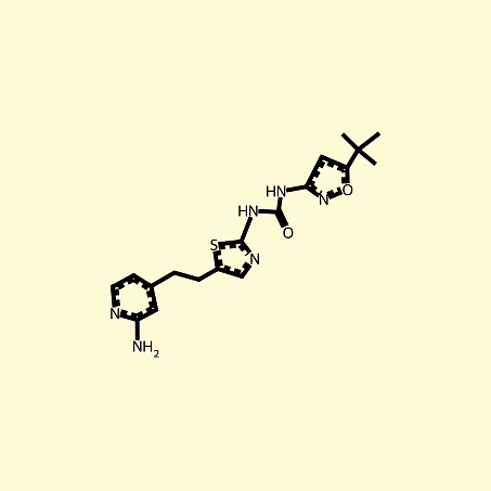 CC(C)(C)c1cc(NC(=O)Nc2ncc(CCc3ccnc(N)c3)s2)no1